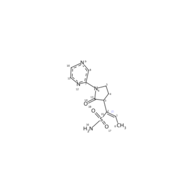 C/C=C(/C1CCN(c2cnccn2)C1=O)S(N)(=O)=O